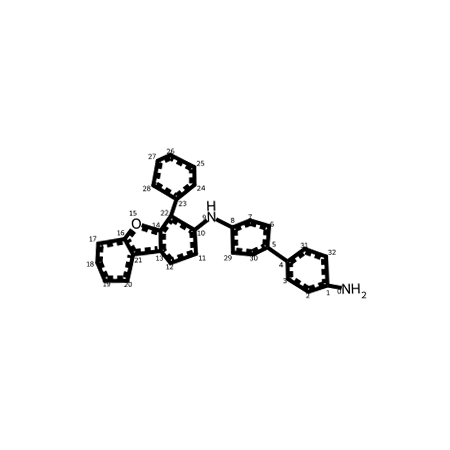 Nc1ccc(-c2ccc(Nc3ccc4c(oc5ccccc54)c3-c3ccccc3)cc2)cc1